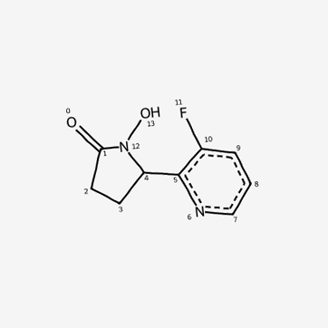 O=C1CCC(c2ncccc2F)N1O